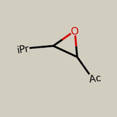 CC(=O)C1OC1C(C)C